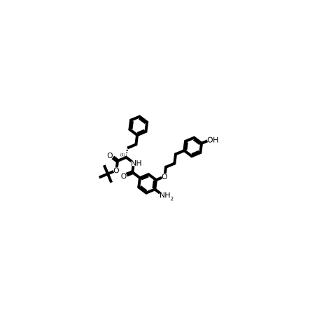 CC(C)(C)OC(=O)[C@H](CCc1ccccc1)NC(=O)c1ccc(N)c(OCCCc2ccc(O)cc2)c1